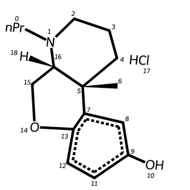 CCCN1CCC[C@]2(C)c3cc(O)ccc3OC[C@H]12.Cl